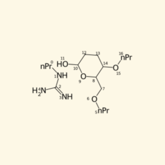 CCCNC(=N)N.CCCOCC1OC(O)CCC1OCCC